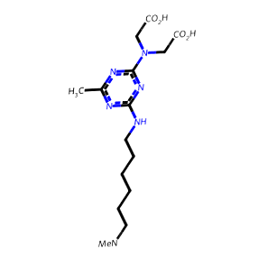 CNCCCCCCNc1nc(C)nc(N(CC(=O)O)CC(=O)O)n1